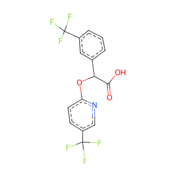 O=C(O)C(Oc1ccc(C(F)(F)F)cn1)c1cccc(C(F)(F)F)c1